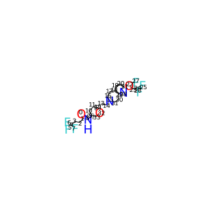 O=C(CCC(F)(F)F)N[C@H]1CC[C@H](CCN2CCc3ccc(OCC(F)(F)F)nc3CC2)OC1